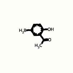 Bc1ccc(O)c(C(C)=O)c1